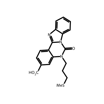 CSCCCn1c(=O)n2c3ccccc3nc2c2ccc(C(=O)O)cc21